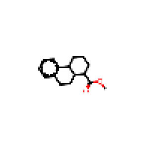 COC(=O)C1CCCC2c3ccccc3CCC12